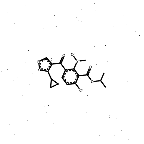 CC(C)OC(=O)c1c(Cl)ccc(C(=O)c2cnoc2C2CC2)c1[S+](C)[O-]